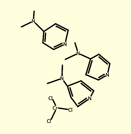 CN(C)c1ccncc1.CN(C)c1ccncc1.CN(C)c1ccncc1.[Cl][Cr]([Cl])[Cl]